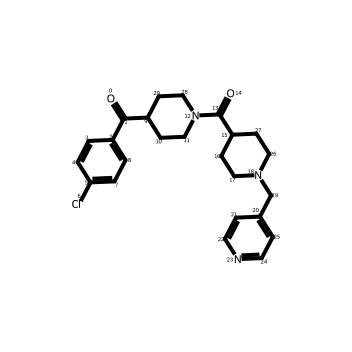 O=C(c1ccc(Cl)cc1)C1CCN(C(=O)C2CCN(Cc3ccncc3)CC2)CC1